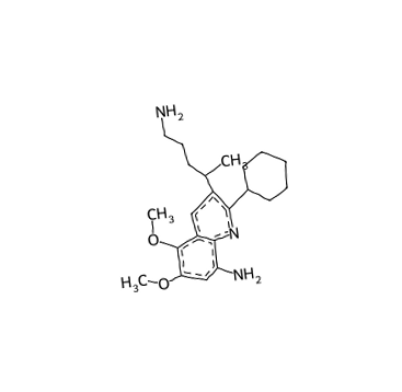 COc1cc(N)c2nc(C3CCCCC3)c(C(C)CCCN)cc2c1OC